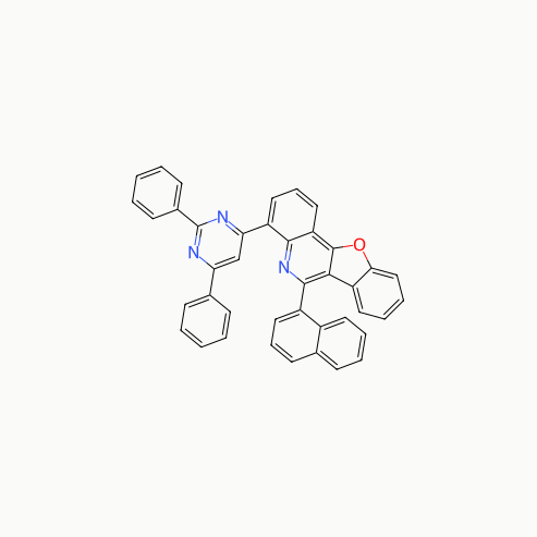 c1ccc(-c2cc(-c3cccc4c3nc(-c3cccc5ccccc35)c3c5ccccc5oc43)nc(-c3ccccc3)n2)cc1